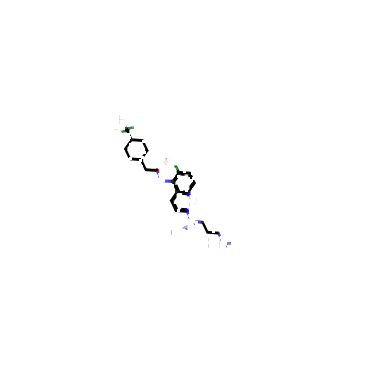 CNCCCN(C)c1ccc2c(NC(=O)CC3CCC(C(F)(F)F)CC3)c(Cl)ccc2n1